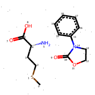 CSCC[C@@H](N)C(=O)O.O=C1OCCN1c1ccccc1